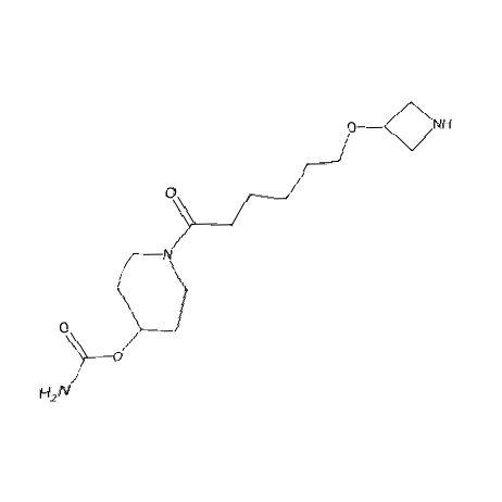 NC(=O)OC1CCN(C(=O)CCCCCOC2CNC2)CC1